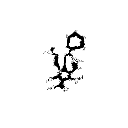 COCCn1c(=O)c(C(=O)O)c(O)c2cnc(-c3ccccc3)nc21